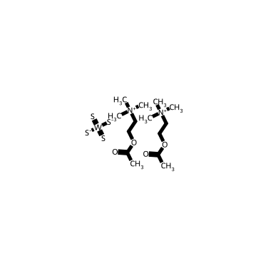 CC(=O)OCC[N+](C)(C)C.CC(=O)OCC[N+](C)(C)C.[S]=[W](=[S])([S-])[S-]